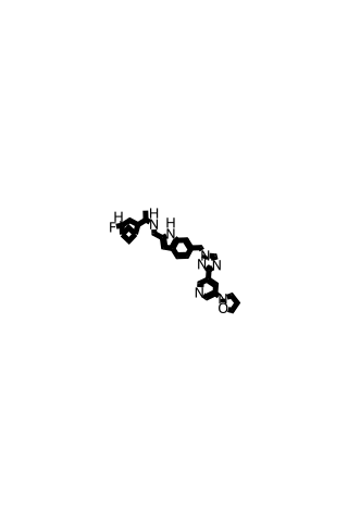 CC(NCc1cc2ccc(Cn3cnc(-c4cncc(N5CCCO5)c4)n3)cc2[nH]1)C1C[C@H](F)C2CC1C2